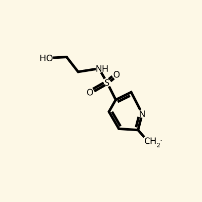 [CH2]c1ccc(S(=O)(=O)NCCO)cn1